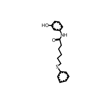 O=C(CCCCCSc1ccccc1)Nc1cccc(O)c1